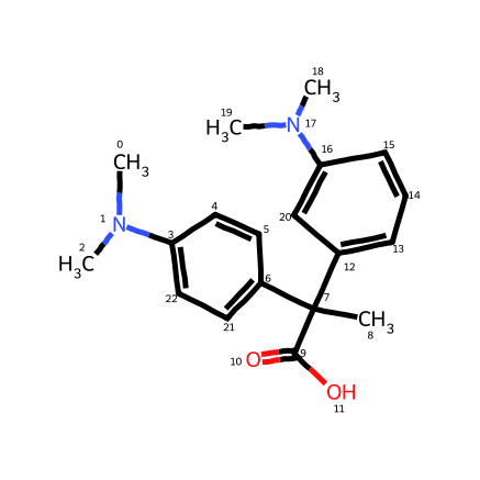 CN(C)c1ccc(C(C)(C(=O)O)c2cccc(N(C)C)c2)cc1